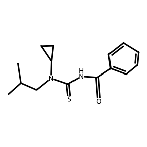 CC(C)CN(C(=S)NC(=O)c1ccccc1)C1CC1